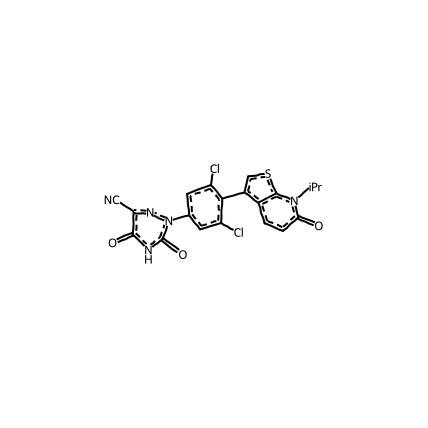 CC(C)n1c(=O)ccc2c(-c3c(Cl)cc(-n4nc(C#N)c(=O)[nH]c4=O)cc3Cl)csc21